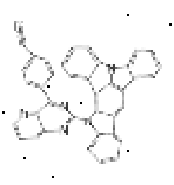 N#Cc1ccc(-c2nc(-n3c4ccccc4c4cc5c6ccccc6n6c7ccccc7c(c43)c56)nc3cccnc23)cc1